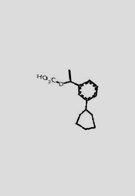 CC(OC(=O)O)c1cccc(C2CCCCC2)c1